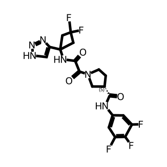 O=C(NC1(c2c[nH]nn2)CC(F)(F)C1)C(=O)N1CC[C@H](C(=O)Nc2cc(F)c(F)c(F)c2)C1